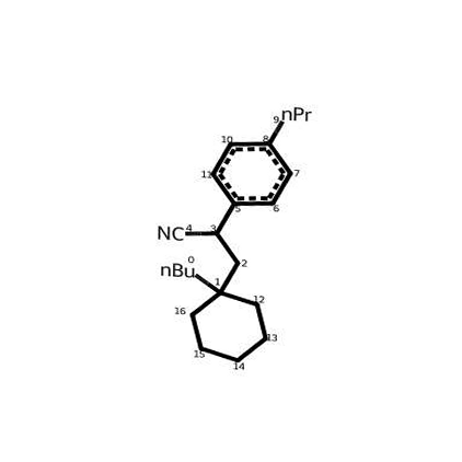 CCCCC1(CC(C#N)c2ccc(CCC)cc2)CCCCC1